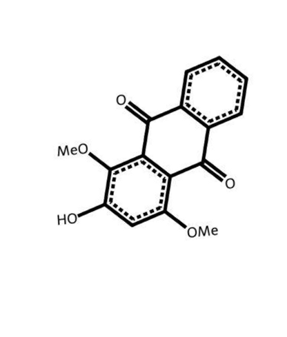 COc1cc(O)c(OC)c2c1C(=O)c1ccccc1C2=O